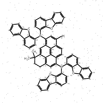 CC(C)c1cc(N(c2cccc3c2oc2ccccc23)c2cccc3c2oc2ccccc23)c2cc3c4c(cc(N(c5cccc6c5oc5ccccc56)c5cccc6c5oc5ccccc56)c5ccc1c2c54)CCC3(C)C